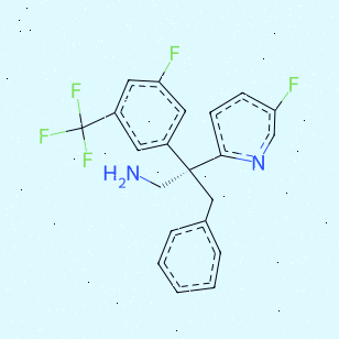 NC[C@](Cc1ccccc1)(c1cc(F)cc(C(F)(F)F)c1)c1ccc(F)cn1